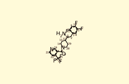 N[C@H](Cc1cc(F)c(F)cc1F)C1CCN(C(=O)c2cnccc2C(F)(F)F)CC1